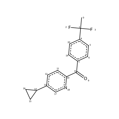 CC(F)(F)c1ccc(C(=O)c2ccc(C3CC3)cn2)cc1